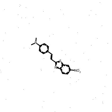 CN(C)c1ccc(C=Cc2nc3ccc([N+](=O)[O-])cc3s2)cc1